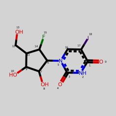 O=c1[nH]c(=O)n(C2C(O)C(O)C(CO)C2F)cc1I